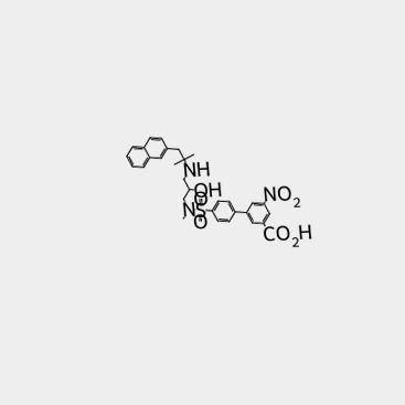 CN(CC(O)CNC(C)(C)Cc1ccc2ccccc2c1)S(=O)(=O)c1ccc(-c2cc(C(=O)O)cc([N+](=O)[O-])c2)cc1